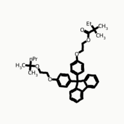 CCCC(C)(C)OCCOc1ccc(C2(c3ccc(OCCOC(=O)C(C)(C)CC)cc3)c3ccccc3-c3ccccc32)cc1